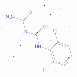 CN(C(=N)Nc1c(Cl)cccc1Cl)C(N)=O